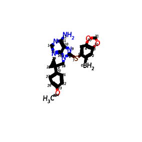 Bc1cc2c(cc1Sc1nc3c(N)ncnc3n1CC1(c3ccc(OC)cc3)CC1)OCO2